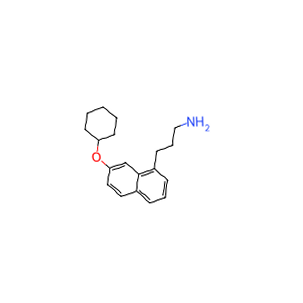 NCCCc1cccc2ccc(OC3CCCCC3)cc12